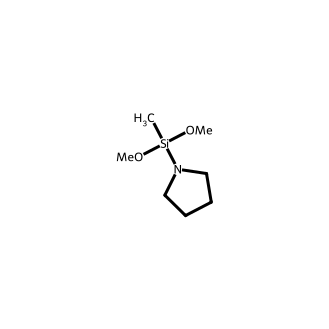 CO[Si](C)(OC)N1CCCC1